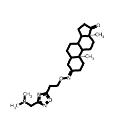 CN(C)Cc1noc(CCON=C2CC[C@@]3(C)C(CCC4C3CC[C@]3(C)C(=O)CCC43)C2)n1